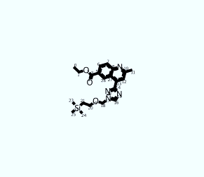 CCOC(=O)c1ccc2nc(C)cc(-c3ncn(COCC[Si](C)(C)C)n3)c2c1